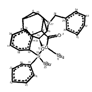 CC(C)(C)OC(=O)C1C2CC3CC1[C@H](O[Si](c1ccccc1)(c1ccccc1)C(C)(C)C)C2N(Cc1ccccc1)C3